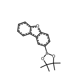 CC1(C)OB(c2ccc3oc4ccccc4c3c2)OC1(C)C